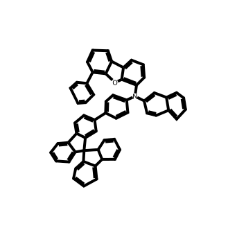 C1=CC2c3ccccc3C3(c4ccccc4-c4ccc(-c5ccc(N(c6ccc7ccccc7c6)c6cccc7c6oc6c(-c8ccccc8)cccc67)cc5)cc43)C2C=C1